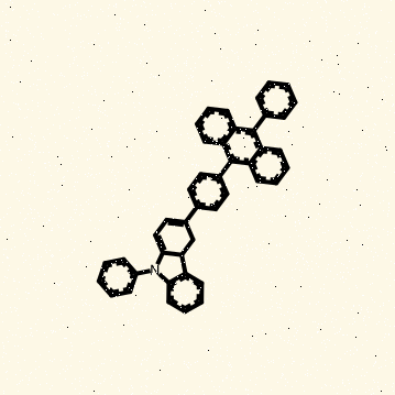 C1=C(c2ccc(-c3c4ccccc4c(-c4ccccc4)c4ccccc34)cc2)CC2C(=C1)N(c1ccccc1)c1ccccc12